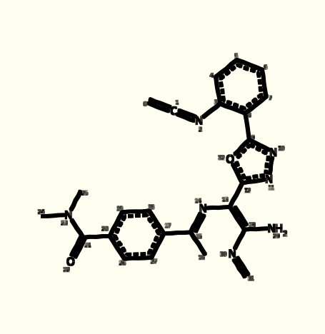 C=C=Nc1ccccc1-c1nnc(C(/N=C(\C)c2ccc(C(=O)N(C)C)cc2)=C(\N)N=C)o1